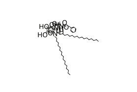 CCCCCCCCCCCCCCCCCCN(C(=O)CCCCCCCCCCCCCCCCC)[C@@H]1O[C@H](CO)[C@@H](O)[C@H](O)[C@H]1NC(=O)[C@@H](C)NC(=O)OCc1ccccc1